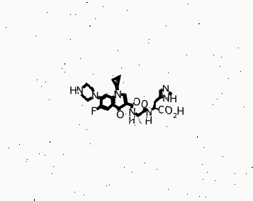 C[C@H](NC(=O)c1cn(C2CC2)c2cc(N3CCNCC3)c(F)cc2c1=O)C(=O)N[C@@H](Cc1cnc[nH]1)C(=O)O